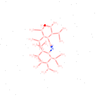 BB(B)B(B(B)B)B(/B=N/B(B(B(B)B)B(B)B)B(B(B)B)B(B(B)B)B(B)B)B(B(B)B)B(B)B